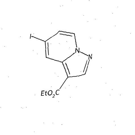 CCOC(=O)c1cnn2ccc(I)cc12